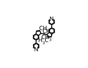 CC1=Cc2ccc(-c3ccncc3)cc2C1C(C)(C)C1C(C)=Cc2ccc(-c3ccncc3)cc21